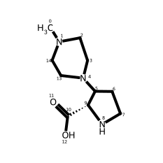 CN1CCN(C2CCN[C@@H]2C(=O)O)CC1